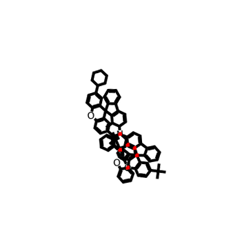 CC1C2=C(C=CC1N(c1ccc3c(c1)C1(c4cc(C(C)(C)C)ccc4Oc4ccc(C(C)(C)C)cc41)c1ccccc1-3)c1ccccc1-c1cccc3c1oc1ccccc13)c1ccccc1C21c2cc(C3CCCCC3)ccc2Oc2ccc(C3CCCCC3)cc21